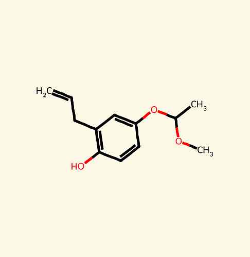 C=CCc1cc(OC(C)OC)ccc1O